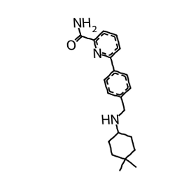 CC1(C)CCC(NCc2ccc(-c3cccc(C(N)=O)n3)cc2)CC1